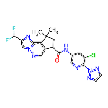 CC1(C)CC(C(=O)Nc2cnc(-n3nccn3)c(Cl)c2)c2cnn3cc(C(F)F)nc3c21